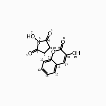 O=C1CCC(=O)N1O.O=c1oc2ccccc2cc1O